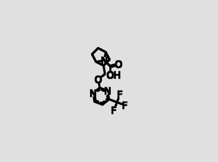 O=C(O)N1C2CCC1C(COc1nccc(C(F)(F)F)n1)C2